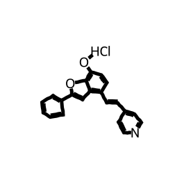 COc1ccc(/C=C/c2ccncc2)c2cc(-c3ccccc3)oc12.Cl